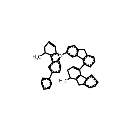 CC1CC=C(c2cccc3c2-c2cc(-n4c5c(c6cc(-c7ccccc7)ccc64)C(C)CC=C5)ccc2C3)C2=C1Cc1ccccc12